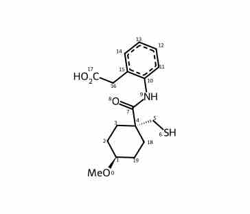 CO[C@H]1CC[C@@](CS)(C(=O)Nc2ccccc2CC(=O)O)CC1